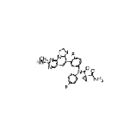 CNc1ncc2c(n1)N1CCN=C1C(c1cc(N(C(=O)C3(C(N)=O)CC3)c3ccc(F)cc3)ccc1F)=C2